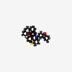 c1ccc2c(-c3ccc(N(c4ccc5oc6ccccc6c5c4)c4cccc5sc6ccc7oc8c9ccccc9ccc8c7c6c45)cc3)cccc2c1